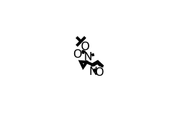 CN(C(=O)OC(C)(C)C)C1(c2ccon2)CC1